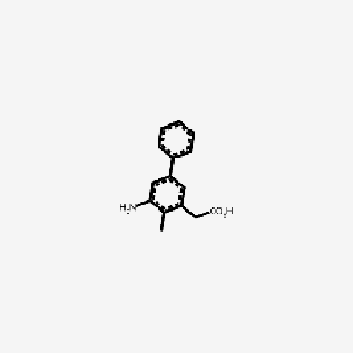 Cc1c(N)cc(-c2ccccc2)cc1CC(=O)O